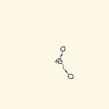 C[n+]1cc(C#Cc2ccccc2)cc(CCC#Cc2ccccc2)c1